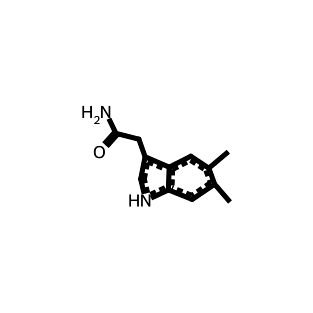 Cc1cc2[nH]cc(CC(N)=O)c2cc1C